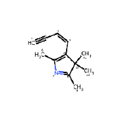 C#C/C=C\C1=C(C)N=C(C)C1(C)C